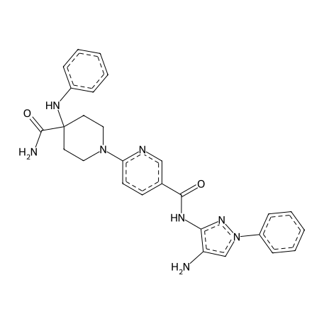 NC(=O)C1(Nc2ccccc2)CCN(c2ccc(C(=O)Nc3nn(-c4ccccc4)cc3N)cn2)CC1